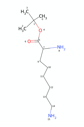 CC(C)(C)OC(=O)C(N)CCCCCCN